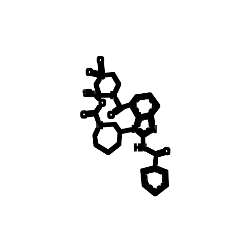 CC(C)(C)OC(=O)N1CCCCC(n2c(NC(=O)c3ccccc3)nc3cccc(C(=O)N4CCS(=O)(=O)CC4)c32)C1